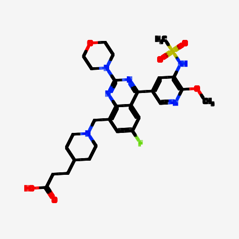 COc1ncc(-c2nc(N3CCOCC3)nc3c(CN4CCC(CCC(=O)O)CC4)cc(F)cc23)cc1NS(C)(=O)=O